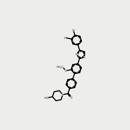 O=C(O)Oc1cc(-c2nc(-c3ccc(Cl)c(Cl)c3)cs2)ccc1-c1ccc(C(=O)N2CCC(O)CC2)cc1